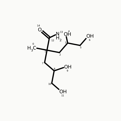 CC(CC(O)CO)(CC(O)CO)C(N)=O